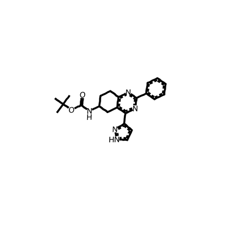 CC(C)(C)OC(=O)NC1CCc2nc(-c3ccccc3)nc(-c3cc[nH]n3)c2C1